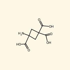 NC1(C(=O)O)CC(C(=O)O)(C(=O)O)C1